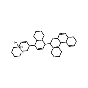 C1=CC2C(C=CC3CC(C4C=CC(C5C=C[C@H]6CCCCN6C5)C5CCCCC45)C4=C(CCCC4)C32)CC1